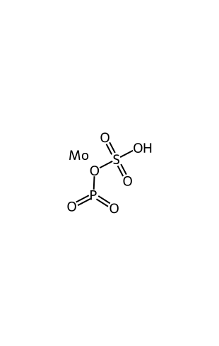 O=P(=O)OS(=O)(=O)O.[Mo]